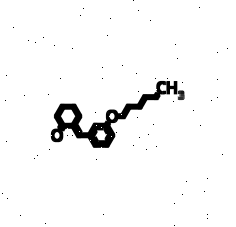 CCCCCCOc1cccc(C=C2CCCCC2=O)c1